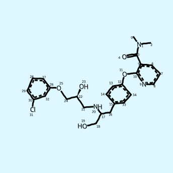 CN(C)C(=O)c1cccnc1Oc1ccc(CC(CO)NC[C@H](O)COc2cccc(Cl)c2)cc1